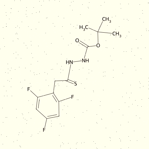 CC(C)(C)OC(=O)NNC(=S)Cc1c(F)cc(F)cc1F